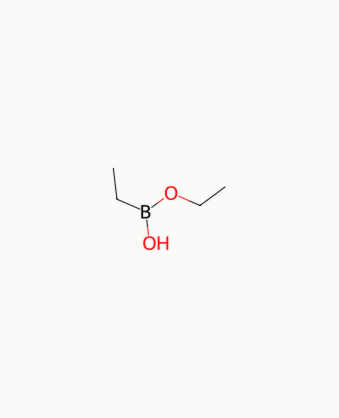 CCOB(O)CC